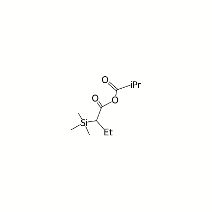 CCC(C(=O)OC(=O)C(C)C)[Si](C)(C)C